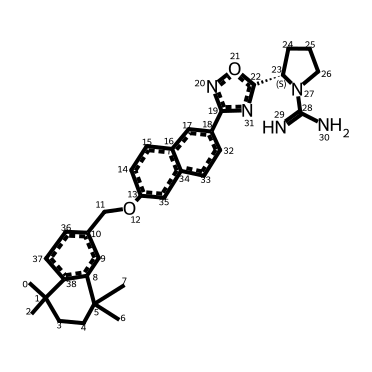 CC1(C)CCC(C)(C)c2cc(COc3ccc4cc(-c5noc([C@@H]6CCCN6C(=N)N)n5)ccc4c3)ccc21